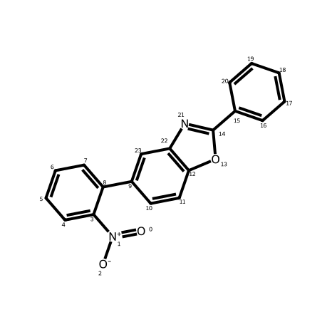 O=[N+]([O-])c1ccccc1-c1ccc2oc(-c3ccccc3)nc2c1